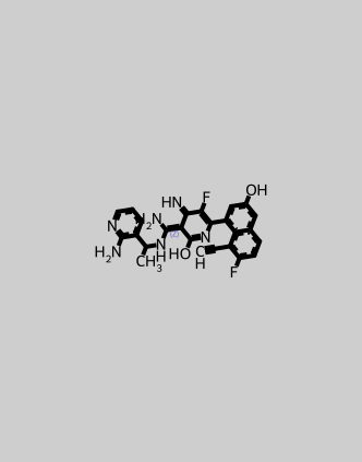 C#Cc1c(F)ccc2cc(O)cc(C3=C(F)C(=N)/C(=C(\N)NC(C)c4cccnc4N)C(O)=N3)c12